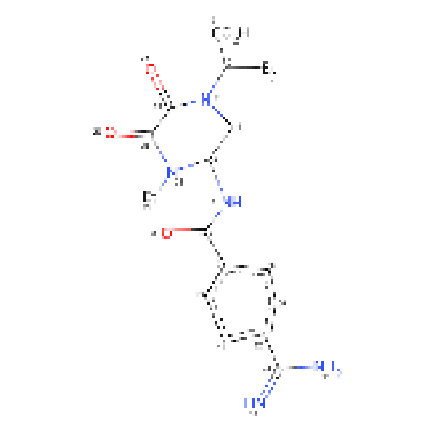 CCC(C(=O)O)N1CC(NC(=O)c2ccc(C(=N)N)cc2)N(CC)C(=O)C1=O